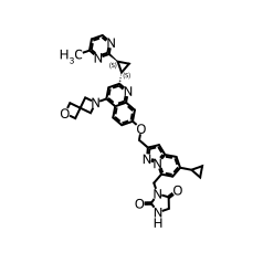 Cc1ccnc([C@H]2C[C@@H]2c2cc(N3CC4(COC4)C3)c3ccc(OCc4cc5cc(C6CC6)cc(CN6C(=O)CNC6=O)n5n4)cc3n2)n1